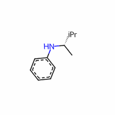 CC(C)[C@H](C)Nc1ccccc1